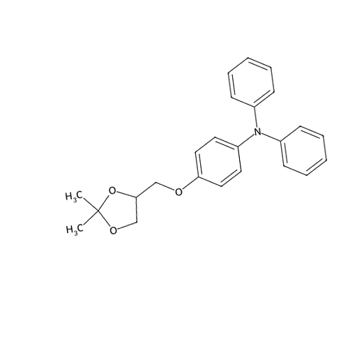 CC1(C)OCC(COc2ccc(N(c3ccccc3)c3ccccc3)cc2)O1